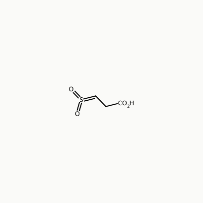 O=C(O)CC=S(=O)=O